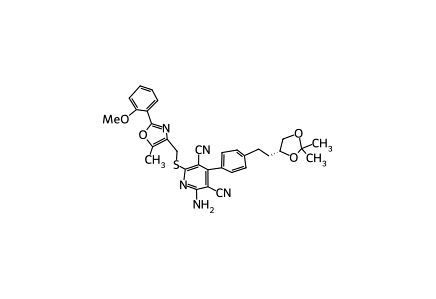 COc1ccccc1-c1nc(CSc2nc(N)c(C#N)c(-c3ccc(CC[C@@H]4COC(C)(C)O4)cc3)c2C#N)c(C)o1